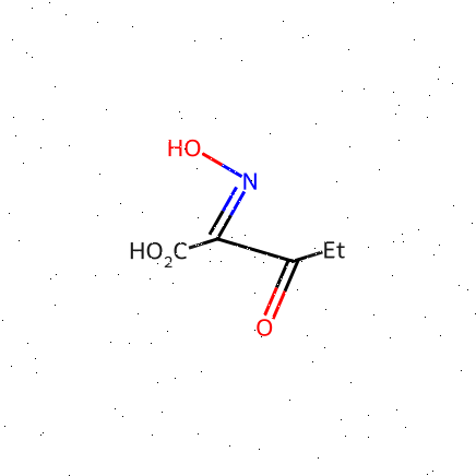 CCC(=O)C(=NO)C(=O)O